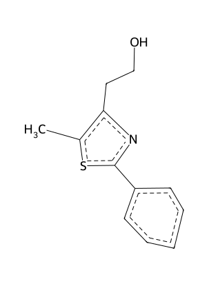 Cc1sc(-c2ccccc2)nc1CCO